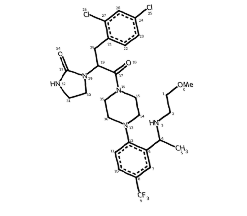 COCCNC(C)c1cc(C(F)(F)F)ccc1N1CCN(C(=O)C(Cc2ccc(Cl)cc2Cl)N2CCNC2=O)CC1